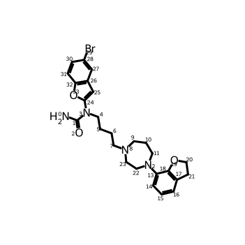 NC(=O)N(CCCCN1CCCN(c2cccc3c2OCC3)CC1)c1cc2cc(Br)ccc2o1